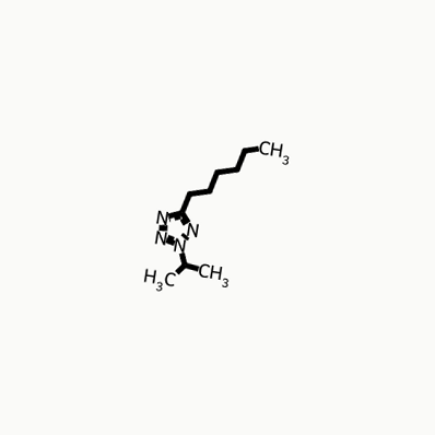 CCCCCCc1nnn(C(C)C)n1